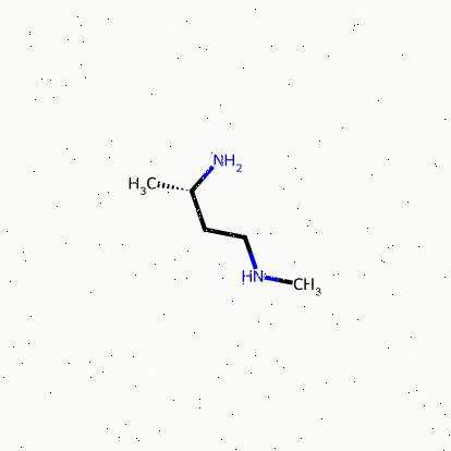 CNCC[C@H](C)N